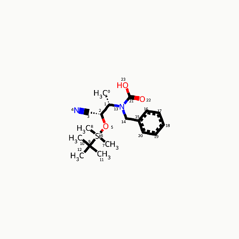 C[C@@H]([C@@H](C#N)O[Si](C)(C)C(C)(C)C)N(Cc1ccccc1)C(=O)O